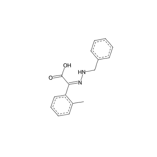 Cc1ccccc1C(=NNCc1ccccc1)C(=O)O